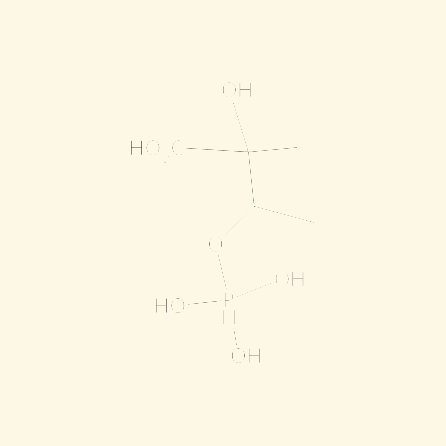 CC(O[PH](O)(O)O)C(C)(O)C(=O)O